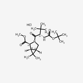 COC(=O)[C@@H]1[C@@H]2[C@H](CN1C(=O)[C@@H](NC(=O)OC(C)(C)C)C(C)(C)C)C2(C)C.Cl